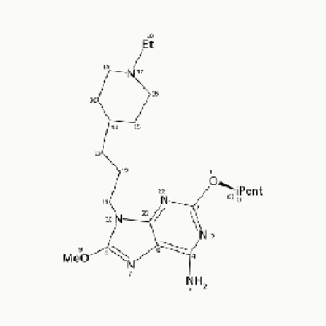 CCC[C@H](C)Oc1nc(N)c2nc(OC)n(CCCC3CCN(CC)CC3)c2n1